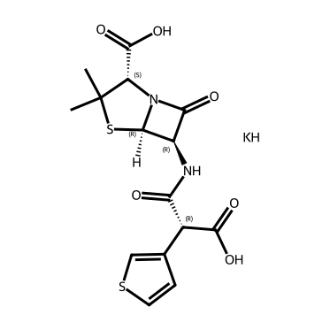 CC1(C)S[C@@H]2[C@H](NC(=O)[C@H](C(=O)O)c3ccsc3)C(=O)N2[C@H]1C(=O)O.[KH]